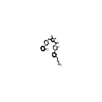 Cc1c(CN2CCN(c3ccccc3Cl)CC2)cc(C(=O)N2CCN(c3cccc(CCCN)c3)C[C@@H]2C)n1C